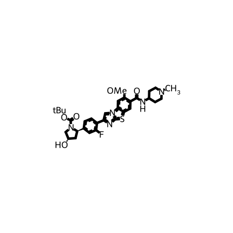 COc1cc2c(cc1C(=O)NC1CCN(C)CC1)sc1nc(-c3ccc([C@H]4C[C@H](O)CN4C(=O)OC(C)(C)C)cc3F)cn12